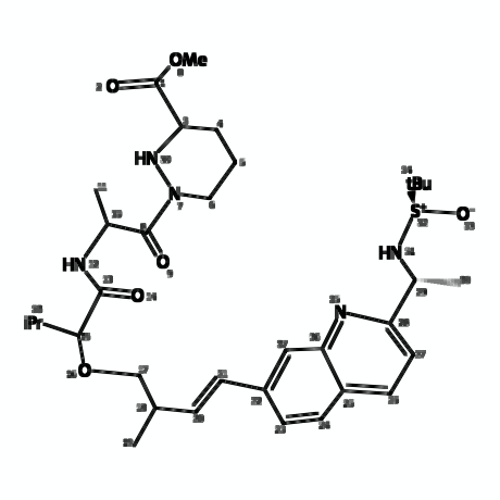 COC(=O)C1CCCN(C(=O)C(C)NC(=O)C(OCC(C)/C=C/c2ccc3ccc([C@@H](C)N[S@+]([O-])C(C)(C)C)nc3c2)C(C)C)N1